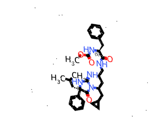 COC(=O)N[C@@H](Cc1ccccc1)C(=O)NCCCC(CC1CC1)N1C(=N)N[C@](CC(C)C)(c2ccccc2)C1=O